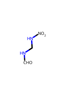 O=CNCN[N+](=O)[O-]